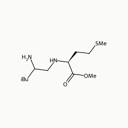 CCC(C)C(N)CN[C@@H](CCSC)C(=O)OC